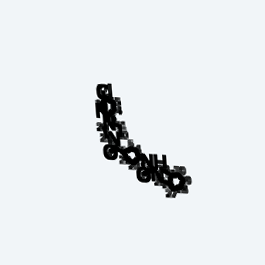 O=C(Nc1ccc(C(=O)N2CCN(c3ccc(Cl)cn3)CC2)cc1)N1Cc2ccccc2C1